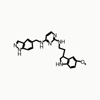 COc1ccc2c(c1)C(CCNc1nccc(NCc3ccc4[nH]ncc4c3)n1)CN2